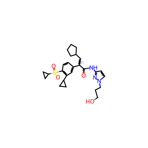 O=C(Nc1ccn(CCCO)n1)/C(=C/C1CCCC1)c1ccc(S(=O)(=O)C2CC2)c(C2CC2)c1